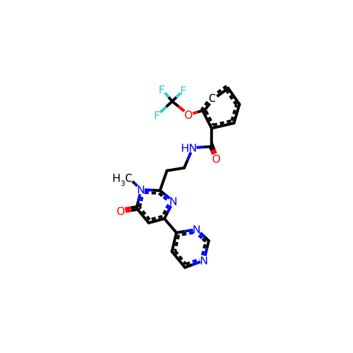 Cn1c(CCNC(=O)c2ccccc2OC(F)(F)F)nc(-c2ccncn2)cc1=O